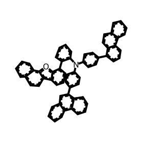 c1ccc(N(c2ccc(-c3cccc4c3ccc3ccccc34)cc2)c2ccc(-c3cc4ccccc4c4ccccc34)cc2)c(-c2cccc3c2oc2c4ccccc4ccc32)c1